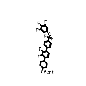 CCCCCC1CCC(c2ccc(-c3ccc(C(F)(F)Oc4cc(F)c(F)c(F)c4)cc3)c(F)c2F)CC1